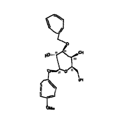 COc1ccc(O[C@@H]2O[C@H](CO)[C@H](O)[C@H](OCc3ccccc3)[C@H]2O)cc1